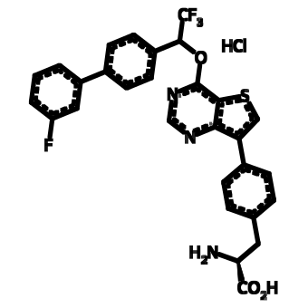 Cl.N[C@@H](Cc1ccc(-c2csc3c(OC(c4ccc(-c5cccc(F)c5)cc4)C(F)(F)F)ncnc23)cc1)C(=O)O